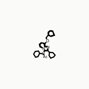 CC(=O)N(c1c(C2CCCCC2)nc2c(OCc3ccccc3)cccn12)C1CCCCC1